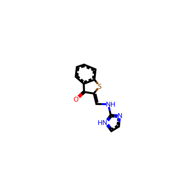 O=C1C(=CNc2ncc[nH]2)Sc2ccccc21